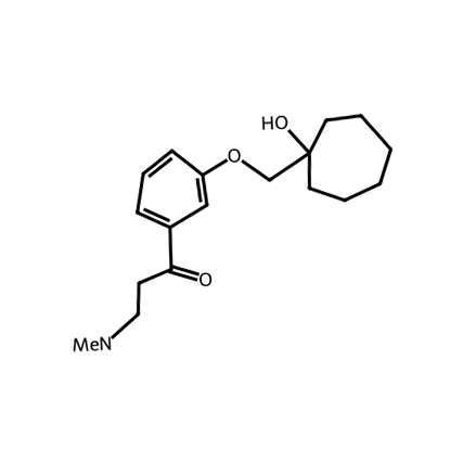 CNCCC(=O)c1cccc(OCC2(O)CCCCCC2)c1